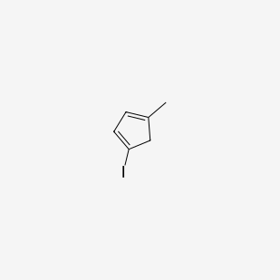 CC1=CC=C(I)C1